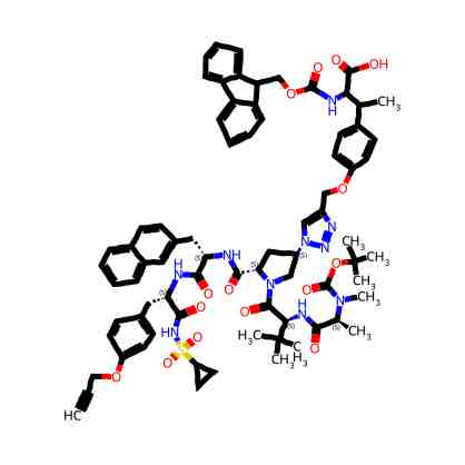 C#CCOc1ccc(C[C@H](NC(=O)[C@H](Cc2ccc3ccccc3c2)NC(=O)[C@@H]2C[C@H](n3cc(COc4ccc(C(C)C(NC(=O)OCC5c6ccccc6-c6ccccc65)C(=O)O)cc4)nn3)CN2C(=O)[C@@H](NC(=O)[C@H](C)N(C)C(=O)OC(C)(C)C)C(C)(C)C)C(=O)NS(=O)(=O)C2CC2)cc1